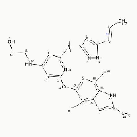 C/C=C/c1cc(Nc2cc(NCCO)nc(Oc3cc(F)c4[nH]c(C)cc4c3F)n2)n[nH]1